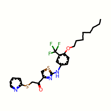 CCCCCCCCOc1ccc(Nc2nc(C(=O)CSc3ccccn3)cs2)cc1C(F)(F)F